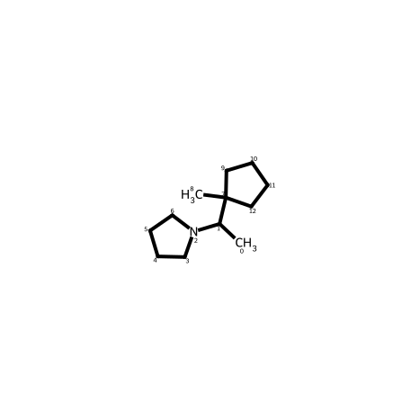 CC(N1CCCC1)C1(C)CCCC1